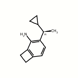 C[C@@H](c1ccc2c(c1N)CC2)C1CC1